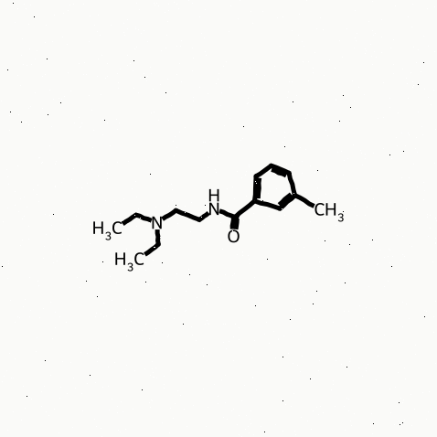 CCN(CC)CCNC(=O)c1cccc(C)c1